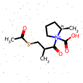 CC(=O)SCC(C)C(=O)[N+]1(C(=O)O)CCC[C@H]1C